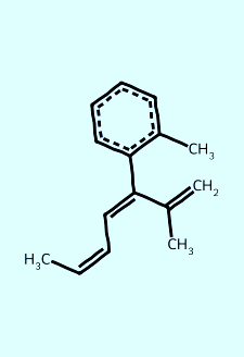 C=C(C)/C(=C\C=C/C)c1ccccc1C